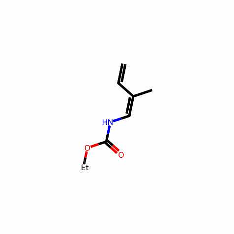 C=CC(C)=CNC(=O)OCC